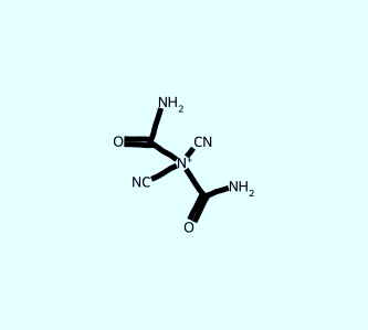 N#C[N+](C#N)(C(N)=O)C(N)=O